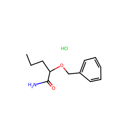 CCCC(OCc1ccccc1)C(N)=O.Cl